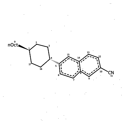 CCCCCCCC[C@H]1CC[C@H](c2ccc3cc(C#N)ccc3c2)CC1